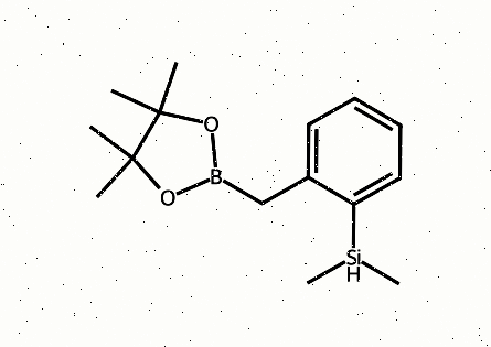 C[SiH](C)c1ccccc1CB1OC(C)(C)C(C)(C)O1